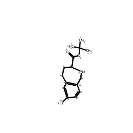 CC(C)(C)OC(=O)C1CCc2cc(O)ccc2CN1